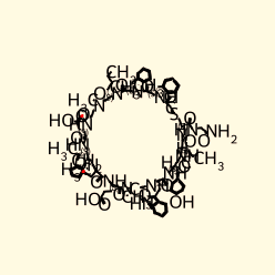 C=C(C)[C@@H]1NC(=O)[C@H](CC(=O)O)NC(=O)CN(C)C(=O)[C@H](CCCC)N(C)C(=O)[C@H](Cc2ccccc2)N(C)C(=O)[C@H](Cc2ccccc2)NC(=O)CSC[C@@H](C(=O)NCC(N)=O)NC(=O)[C@H](CC(C)C)NC(=O)[C@H](Cc2ccc(O)cc2)NC(=O)[C@H](Cc2c[nH]c3ccccc23)NC(=O)CN(C)C(=O)[C@H](CCC(=O)O)NC(=O)C(Cc2ccccc2)N(C)C1=O